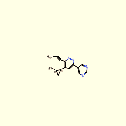 CC#Cc1nnc(-c2cncnc2)cc1[C@H]1C[C@@H]1C(C)C